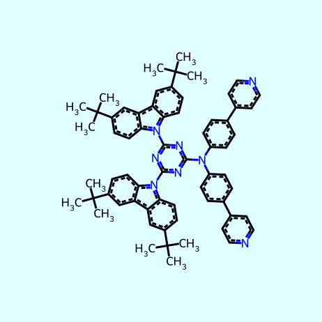 CC(C)(C)c1ccc2c(c1)c1cc(C(C)(C)C)ccc1n2-c1nc(N(c2ccc(-c3ccncc3)cc2)c2ccc(-c3ccncc3)cc2)nc(-n2c3ccc(C(C)(C)C)cc3c3cc(C(C)(C)C)ccc32)n1